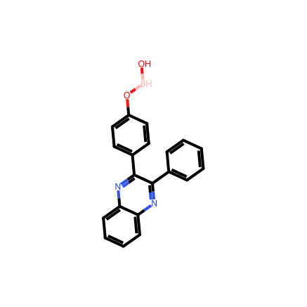 OBOc1ccc(-c2nc3ccccc3nc2-c2ccccc2)cc1